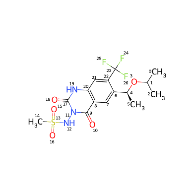 CC(C)O[C@@H](C)c1cc2c(=O)n(NS(C)(=O)=O)c(=O)[nH]c2cc1C(F)(F)F